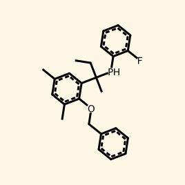 CCC(C)(Pc1ccccc1F)c1cc(C)cc(C)c1OCc1ccccc1